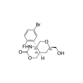 O=C1N[C@@]2(c3cc(Br)ccc3F)CO[C@@H](CO)C[C@H]2CO1